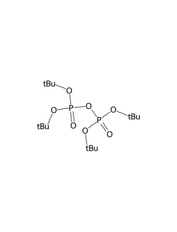 CC(C)(C)OP(=O)(OC(C)(C)C)OP(=O)(OC(C)(C)C)OC(C)(C)C